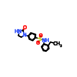 CCc1ccccc1NS(=O)(=O)c1ccc(N2CCNC2=O)cc1